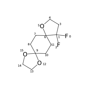 FC1(F)CCOC12CCC1(CC2)OCCO1